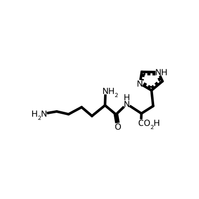 NCCCCC(N)C(=O)NC(Cc1c[nH]cn1)C(=O)O